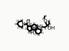 CCOC[C@](O)(CC)CC[C@H]1CCC[C@@H]2[C@@H]1CC[C@]1(C)[C@@H](C(=O)N3CCCCC3)CC[C@@H]21